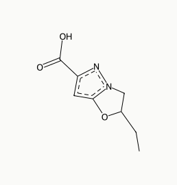 CCC1Cn2nc(C(=O)O)cc2O1